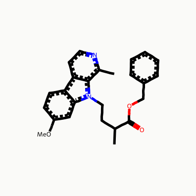 COc1ccc2c3ccnc(C)c3n(CCC(C)C(=O)OCc3ccccc3)c2c1